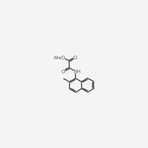 COC(=O)C(=O)Nc1c(C)ccc2ccccc12